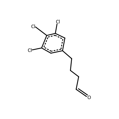 O=CCCCc1cc(Cl)c(Cl)c(Cl)c1